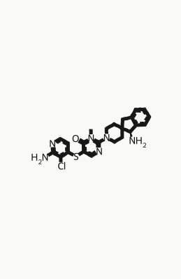 Cn1c(N2CCC3(CC2)Cc2ccccc2[C@H]3N)ncc(Sc2ccnc(N)c2Cl)c1=O